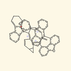 C=C1/C=C\C(C)/C(n2c3c(c4ccccc42)=CCCC=3)=C2/C=CC3CC3/C2=C/1c1cccc2oc3cccc(-c4c5ccccc5c(-c5ccccc5)c5ccccc45)c3c12